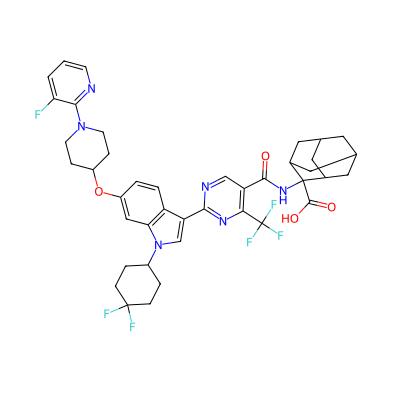 O=C(NC1(C(=O)O)C2CC3CC(C2)CC1C3)c1cnc(-c2cn(C3CCC(F)(F)CC3)c3cc(OC4CCN(c5ncccc5F)CC4)ccc23)nc1C(F)(F)F